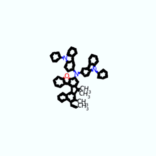 C/C=C\c1c(C)c2c(c3ccccc13)-c1c(cc(N(c3ccc4c(c3)c3ccccc3n4-c3ccccc3)c3ccc4c(c3)c3ccccc3n4-c3ccccc3)c3oc4ccccc4c13)C2(C)C